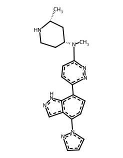 C[C@@H]1C[C@H](N(C)c2ccc(-c3ccc(-n4cccn4)c4cn[nH]c34)nn2)CCN1